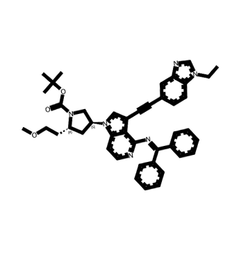 CCn1cnc2cc(C#Cc3cn([C@H]4C[C@H](CCOC)N(C(=O)OC(C)(C)C)C4)c4ccnc(N=C(c5ccccc5)c5ccccc5)c34)ccc21